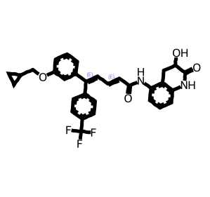 O=C(/C=C/C=C(\c1ccc(C(F)(F)F)cc1)c1cccc(OCC2CC2)c1)Nc1cccc2c1CC(O)C(=O)N2